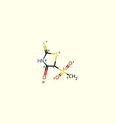 [CH2]S(=O)(=O)C1SC(=S)NC1=O